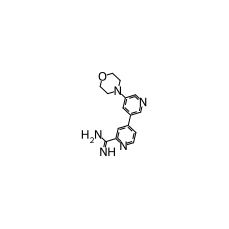 N=C(N)c1cc(-c2cncc(N3CCOCC3)c2)ccn1